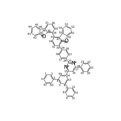 c1ccc(-c2cc(-c3ccccc3)cc(-c3cc(-c4ccccc4)nc(-c4ccc(-c5ccc(-c6cccc7c6oc6ccccc67)c6c5oc5ccccc56)cc4)n3)c2)cc1